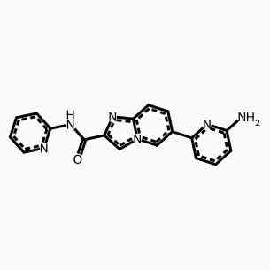 Nc1cccc(-c2ccc3nc(C(=O)Nc4ccccn4)cn3c2)n1